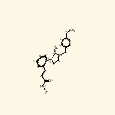 COc1ccc(CN2CCN(c3ccccc3/C=C/C(=O)NO)C2O)cc1